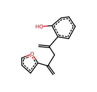 C=C(CC(=C)c1ccccc1O)c1ccco1